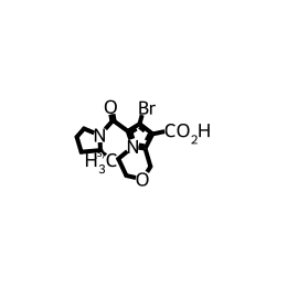 C[C@H]1CCCN1C(=O)c1c(Br)c(C(=O)O)c2n1CCOC2